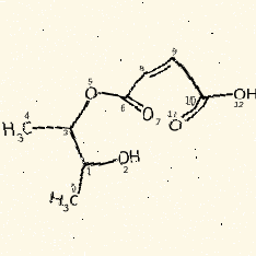 CC(O)C(C)OC(=O)/C=C\C(=O)O